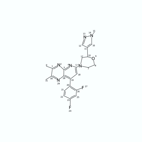 Cc1nc2nc(N3CCOC(c4cnn(C)c4)C3)cc(-c3ccc(F)cc3F)c2nc1C